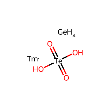 O=[Te](=O)(O)O.[GeH4].[Tm]